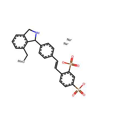 COCc1cccc2c1C(c1ccc(C=Cc3ccc(S(=O)(=O)[O-])cc3S(=O)(=O)[O-])cc1)NC2.[Na+].[Na+]